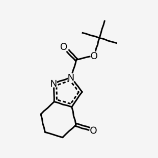 CC(C)(C)OC(=O)n1cc2c(n1)CCCC2=O